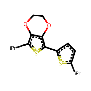 CC(C)c1ccc(-c2sc(C(C)C)c3c2OCCO3)s1